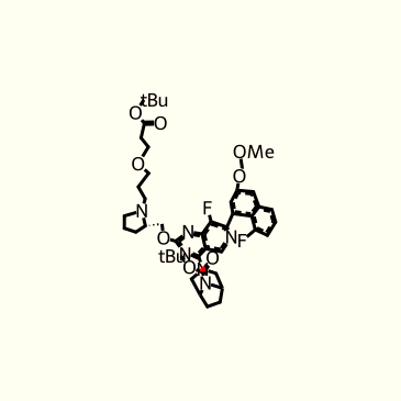 COCOc1cc(-c2ncc3c(N4CC5CCC(C4)N5C(=O)OC(C)(C)C)nc(OC[C@@H]4CCCN4CCCOCCC(=O)OC(C)(C)C)nc3c2F)c2c(F)cccc2c1